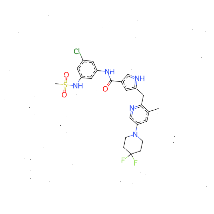 Cc1cc(N2CCC(F)(F)CC2)cnc1Cc1cc(C(=O)Nc2cc(Cl)cc(NS(C)(=O)=O)c2)c[nH]1